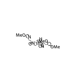 COc1ccnc(CCC(=O)N2CCc3c(sc(NC(=O)CCc4cc(OC)ccc4OC)c3C#N)C2)c1